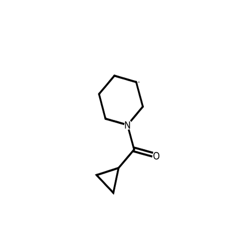 O=C(C1CC1)N1C[CH]CCC1